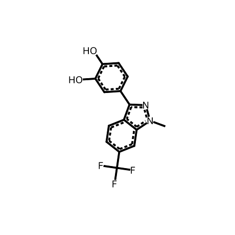 Cn1nc(-c2ccc(O)c(O)c2)c2ccc(C(F)(F)F)cc21